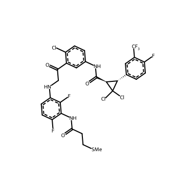 CSCCC(=O)Nc1c(F)ccc(NCC(=O)c2cc(NC(=O)[C@H]3[C@H](c4ccc(F)c(C(F)(F)F)c4)C3(Cl)Cl)ccc2Cl)c1F